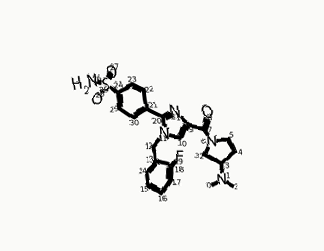 CN(C)C1CCN(C(=O)c2cn(Cc3ccccc3F)c(-c3ccc(S(N)(=O)=O)cc3)n2)C1